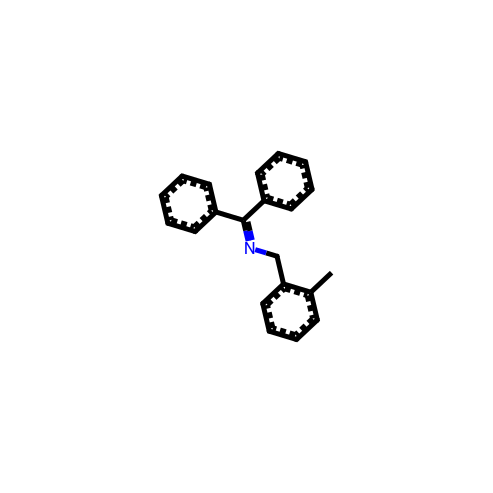 Cc1ccccc1CN=C(c1ccccc1)c1ccccc1